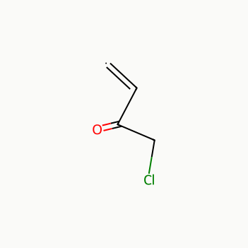 [CH]=CC(=O)CCl